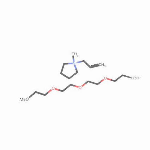 C=CC[N+]1(C)CCCC1.COCCOCCOCCOCCC(=O)[O-]